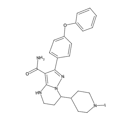 NC(=O)c1c(-c2ccc(Oc3ccccc3)cc2)nn2c1NCCC2C1CCN(I)CC1